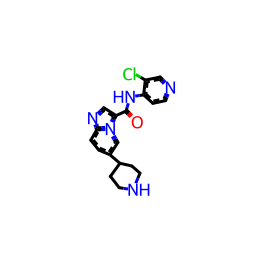 O=C(Nc1ccncc1Cl)c1cnc2ccc(C3CCNCC3)cn12